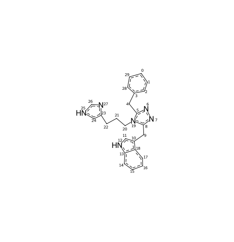 c1ccc(Cc2nnc(Cc3c[nH]c4ccccc34)n2CCCc2c[nH]cn2)cc1